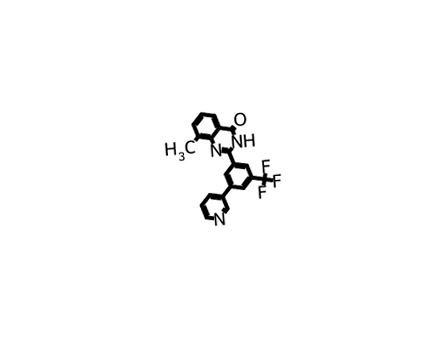 Cc1cccc2c(=O)[nH]c(-c3cc(-c4cccnc4)cc(C(F)(F)F)c3)nc12